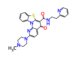 CN1CCN(c2ccc3c(=O)c(C(=O)NCCc4ccccn4)c4sc5ccccc5n4c3n2)CC1